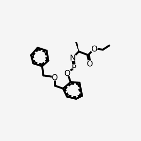 CCOC(=O)[C@H](C)N=POc1ccccc1COCc1ccccc1